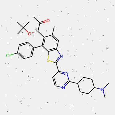 CC(=O)[C@@H](OC(C)(C)C)c1c(C)cc2nc(-c3ccnc(C4CCC(N(C)C)CC4)n3)sc2c1-c1ccc(Cl)cc1